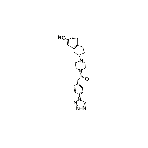 N#Cc1ccc2c(c1)CC(N1CCN(C(=O)Cc3ccc(-n4cnnn4)cc3)CC1)CC2